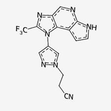 N#CCCn1cc(-n2c(C(F)(F)F)nc3cnc4[nH]ccc4c32)cn1